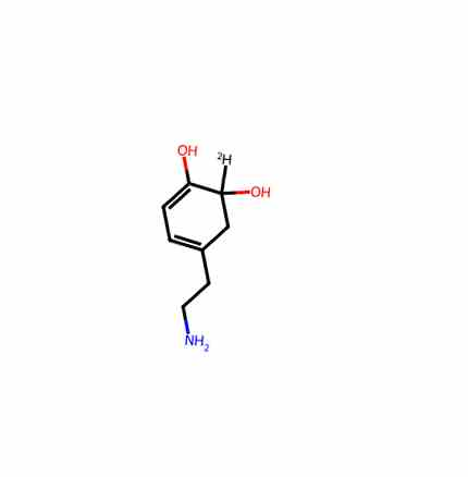 [2H]C1(O)CC(CCN)=CC=C1O